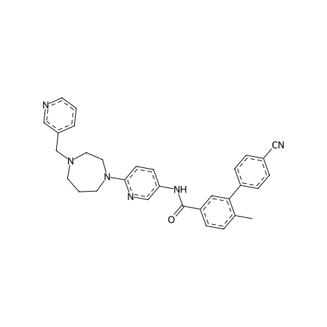 Cc1ccc(C(=O)Nc2ccc(N3CCCN(Cc4cccnc4)CC3)nc2)cc1-c1ccc(C#N)cc1